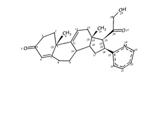 C[C@]12CCC(=O)C=C1CCC1C2=CC[C@@]2(C)C1C[C@H](c1ccccn1)[C@@H]2C(=O)CO